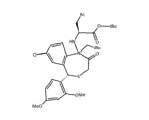 COc1ccc([C@H]2SCC(=O)[N+](CC(C)(C)C)(N[C@@H](CC(C)=O)C(=O)OC(C)(C)C)c3ccc(Cl)cc32)c(OC)c1